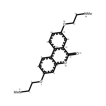 CNCCOc1ccc2c(c1)oc(=O)c1cc(OCCNC)ccc12